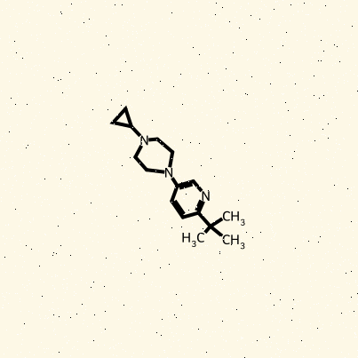 CC(C)(C)c1ccc(N2CCN(C3CC3)CC2)cn1